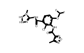 Cc1nonc1C(=O)Nc1c(OC(F)F)ccc(C(=O)NC2=NNNN2C)c1Cl